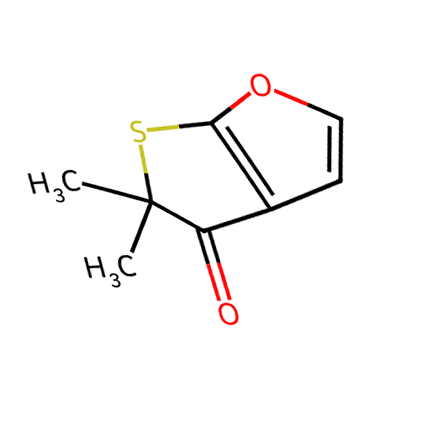 CC1(C)Sc2occc2C1=O